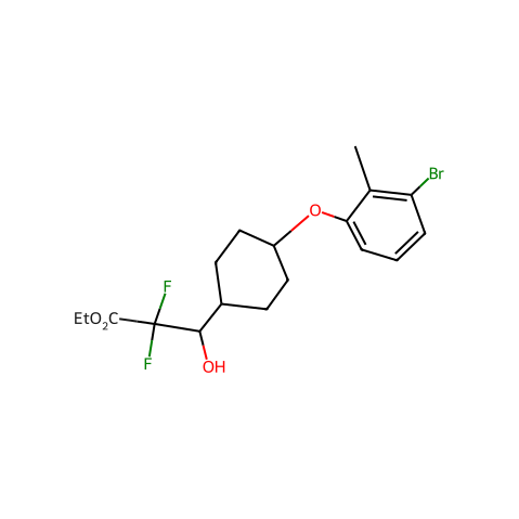 CCOC(=O)C(F)(F)C(O)C1CCC(Oc2cccc(Br)c2C)CC1